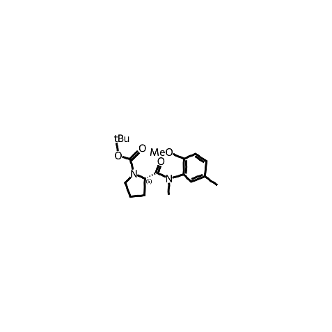 COc1ccc(C)cc1N(C)C(=O)[C@@H]1CCCN1C(=O)OC(C)(C)C